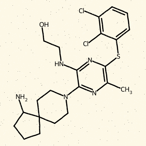 Cc1nc(N2CCC3(CCCC3N)CC2)c(NCCO)nc1Sc1cccc(Cl)c1Cl